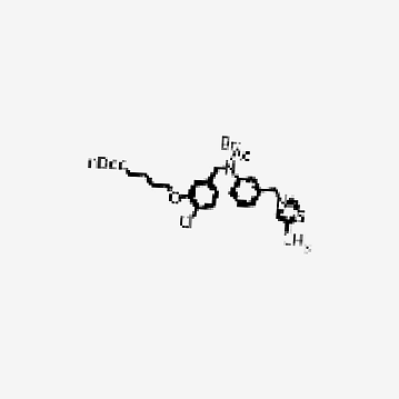 CCCCCCCCCCCCCCOc1cc(CN(C(C)=O)c2cccc(C[n+]3csc(C)c3)c2)ccc1Cl.[Br-]